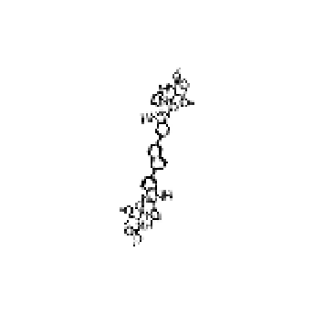 COC(=O)NC(C(=O)N1CCC[C@H]1c1nc2ccc(-c3ccc4cc(-c5ccc6nc([C@@H]7CCCN7C(=O)[C@@H](NC(=O)OC)[C@@H](C)OC)[nH]c6c5)ccc4c3)cc2[nH]1)[C@@H](C)OC